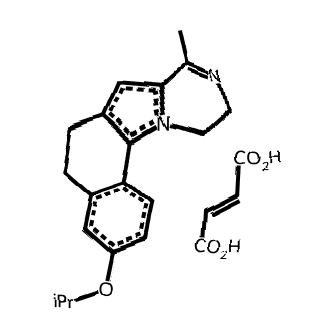 CC1=NCCn2c1cc1c2-c2ccc(OC(C)C)cc2CC1.O=C(O)C=CC(=O)O